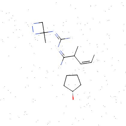 CC/C=C\C(C)/C(=N\C(N)=N/C1(C)CNN1)N[C@@H]1CC[C@@H](O)C1